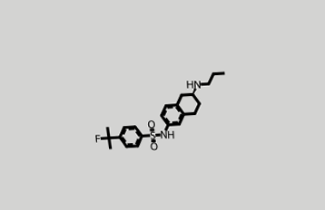 CCCN[C@H]1CCc2cc(NS(=O)(=O)c3ccc(C(C)(C)F)cc3)ccc2C1